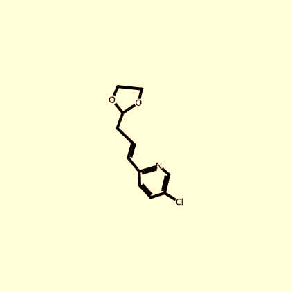 Clc1ccc(C=CC[C]2OCCO2)nc1